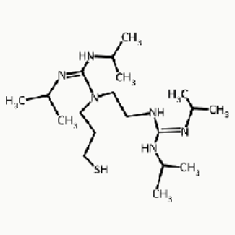 CC(C)/N=C(/NC(C)C)N(CCCS)CCN/C(=N\C(C)C)NC(C)C